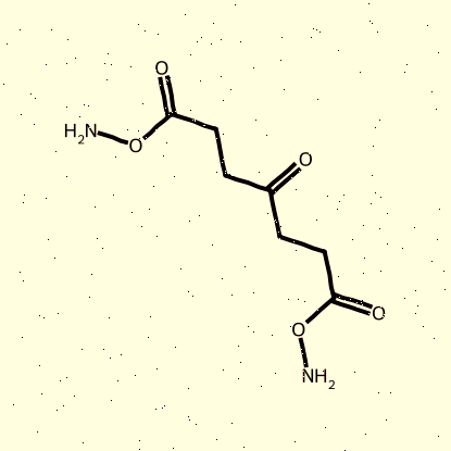 NOC(=O)CCC(=O)CCC(=O)ON